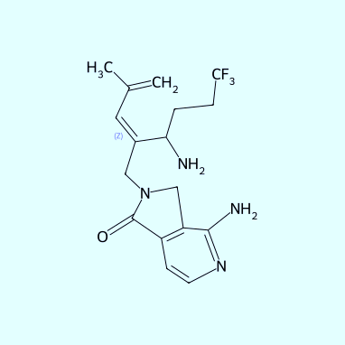 C=C(C)/C=C(/CN1Cc2c(ccnc2N)C1=O)C(N)CCC(F)(F)F